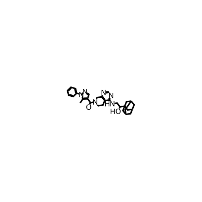 Cc1c(C(=O)N2CCc3c(ncnc3NCC(O)C34CC5CC(CC(C5)C3)C4)C2)cnn1-c1ccccc1